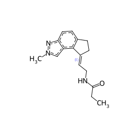 CCC(=O)NC/C=C1\CCc2ccc3nn(C)cc3c21